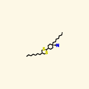 CCCCCCCC1CSC(C2CCC(C#N)(CCCCCCC)CC2)SC1